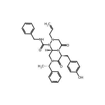 C=CCN1CC(=O)N2[C@@H](Cc3ccc(O)cc3)C(=O)N([C@@H](C)c3ccccc3)C[C@@H]2N1C(=O)NCc1ccccc1